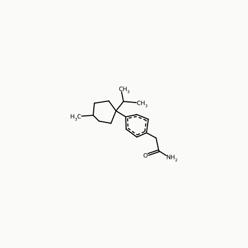 CC1CCC(c2ccc(CC(N)=O)cc2)(C(C)C)CC1